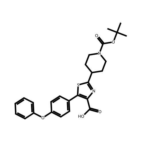 CC(C)(C)OC(=O)N1CCC(c2nc(C(=O)O)c(-c3ccc(Oc4ccccc4)cc3)s2)CC1